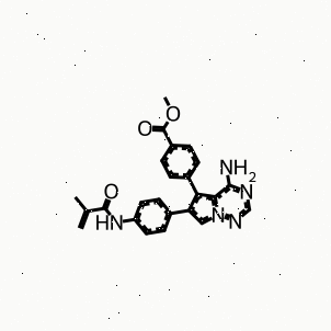 C=C(C)C(=O)Nc1ccc(-c2cn3ncnc(N)c3c2-c2ccc(C(=O)OC)cc2)cc1